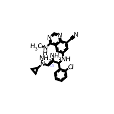 CNc1ncnc2c(C#N)cc(NC(/C(N)=C/N(N)C3CC3)c3ccccc3Cl)cc12